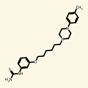 Cc1ccc(N2CCN(CCCCCCOc3cccc(NC(N)=S)c3)CC2)cc1